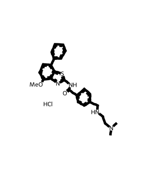 COc1ccc(-c2ccccc2)c2sc(NC(=O)c3ccc(CNCCN(C)C)cc3)nc12.Cl